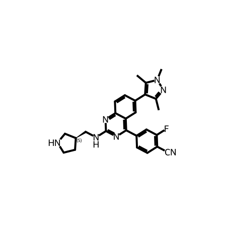 Cc1nn(C)c(C)c1-c1ccc2nc(NC[C@H]3CCNC3)nc(-c3ccc(C#N)c(F)c3)c2c1